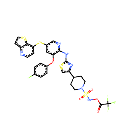 O=C(ONS(=O)(=O)N1CCC(c2csc(Nc3ncc(Sc4ccnc5ccsc45)cc3Oc3ccc(F)cc3)n2)CC1)C(F)(F)F